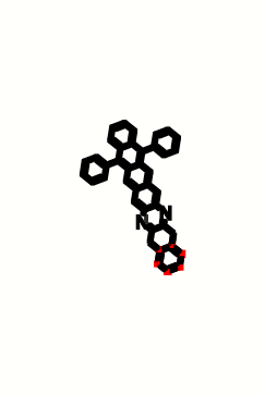 c1ccc(-c2c3ccccc3c(-c3ccccc3)c3cc4cc5nc6c(nc5cc4cc23)C2c3ccccc3C6c3ccccc32)cc1